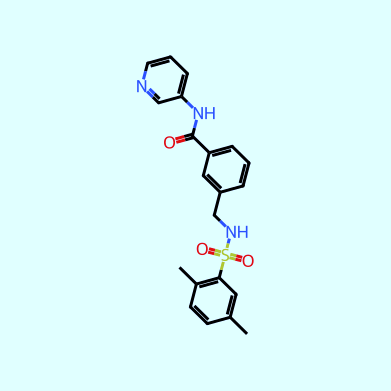 Cc1ccc(C)c(S(=O)(=O)NCc2cccc(C(=O)Nc3cccnc3)c2)c1